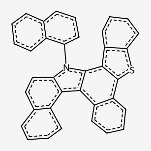 c1ccc2c(-n3c4ccc5ccccc5c4c4c5ccccc5c5sc6ccccc6c5c43)cccc2c1